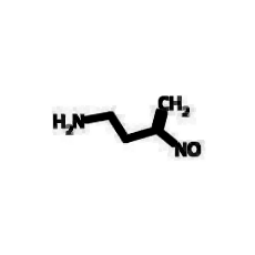 C=C(CCN)N=O